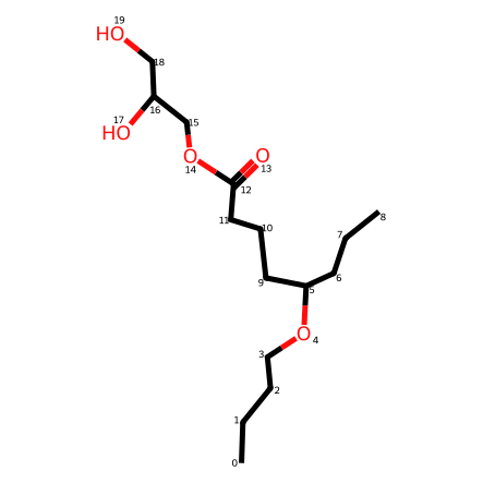 CCCCOC(CCC)CCCC(=O)OCC(O)CO